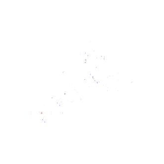 N#CC1(NC(=O)[C@@H]2CCCC[C@H]2c2nn(-c3ccc(F)cc3)cc2-c2ccc(N3CC[SH](=N)(O)CC3)cc2)CC1